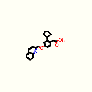 O=C(O)Cc1ccc(OCc2ccc3ccccc3n2)cc1C1CCCC1